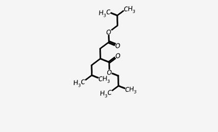 CC(C)COC(=O)CC(CC(C)C)C(=O)OCC(C)C